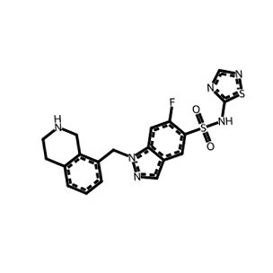 O=S(=O)(Nc1ncns1)c1cc2cnn(Cc3cccc4c3CNCC4)c2cc1F